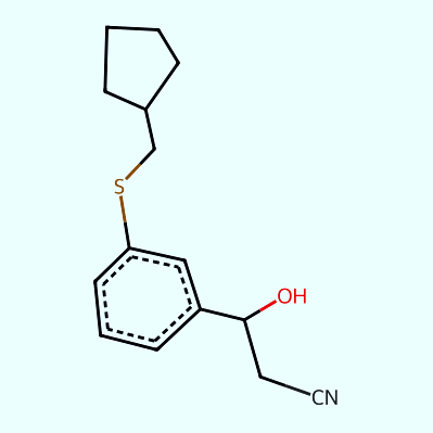 N#CCC(O)c1cccc(SCC2CCCC2)c1